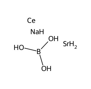 OB(O)O.[Ce].[NaH].[SrH2]